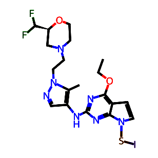 CCOc1nc(Nc2cnn(CCN3CCO[C@H](C(F)F)C3)c2C)nc2c1ccn2SI